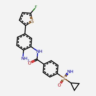 N=S(=O)(c1ccc(C(=O)Nc2cc(-c3ccc(F)s3)ccc2N)cc1)C1CC1